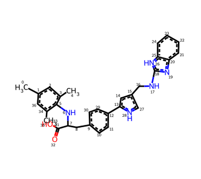 Cc1cc(C)c(NC(Cc2ccc(-c3cc(CNc4nc5ccccc5[nH]4)c[nH]3)cc2)C(=O)O)c(C)c1